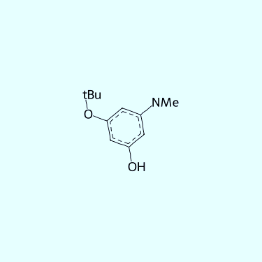 CNc1cc(O)cc(OC(C)(C)C)c1